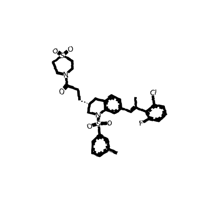 C/C(=C\c1ccc2c(c1)N(S(=O)(=O)c1cccc(C)c1)C[C@H](CCC(=O)N1CCS(=O)(=O)CC1)C2)c1c(F)cccc1Cl